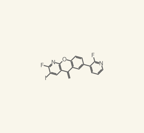 C=C1c2cc(-c3cccnc3F)ccc2Oc2nc(F)c(I)cc21